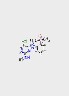 CC(C)Nc1ncc(Cl)c(Nc2ccccc2P(C)(C)=O)n1